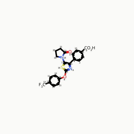 O=C(O)c1ccc(-c2nc(Oc3ccc(C(F)(F)F)cc3)sc2N2CCCC2=O)cc1